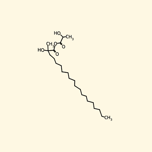 CCCCCCCCCCCCCCCCCCC(C)(O)C(=O)OC(=O)C(C)O